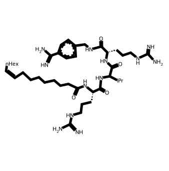 CCCCCC/C=C\CCCCCCCC(=O)N[C@@H](CCCNC(=N)N)C(=O)NC(C(=O)N[C@@H](CCCNC(=N)N)C(=O)NCc1ccc(C(=N)N)cc1)C(C)C